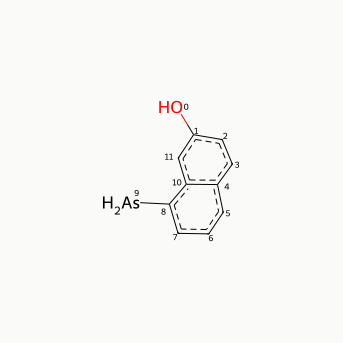 Oc1ccc2cccc([AsH2])c2c1